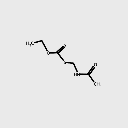 CCOC(=S)SCNC(C)=O